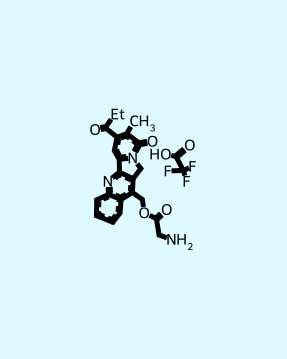 CCC(=O)c1cc2n(c(=O)c1C)Cc1c-2nc2ccccc2c1COC(=O)CN.O=C(O)C(F)(F)F